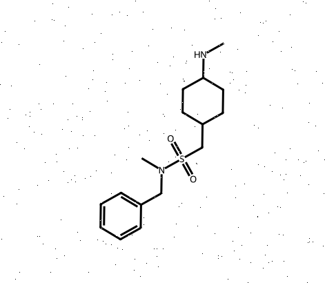 CNC1CCC(CS(=O)(=O)N(C)Cc2ccccc2)CC1